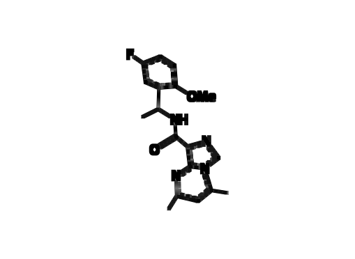 COc1ccc(F)cc1C(C)NC(=O)c1ncn2c(C)cc(C)nc12